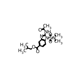 CC(=O)Nc1nc2cc(C(=O)OCC(C)C)ccc2n1S(=O)(=O)N(C)C